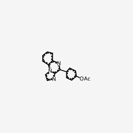 CC(=O)Oc1ccc(-c2nc3ccccc3n3ccnc23)cc1